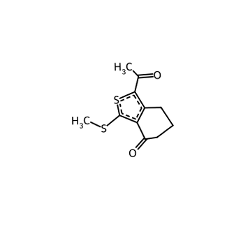 CSc1sc(C(C)=O)c2c1C(=O)CCC2